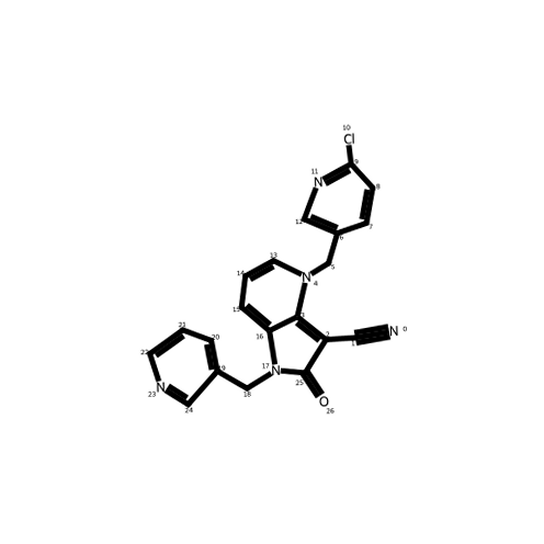 N#Cc1c2n(Cc3ccc(Cl)nc3)cccc-2n(Cc2cccnc2)c1=O